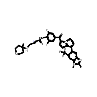 Cc1nc2cc(-c3cccn4c(C(=O)c5cc(F)c(NC(=O)/C=C/CNC6(C)CCOCC6)c(F)c5)ccc34)c(C(F)(F)F)cc2n1C